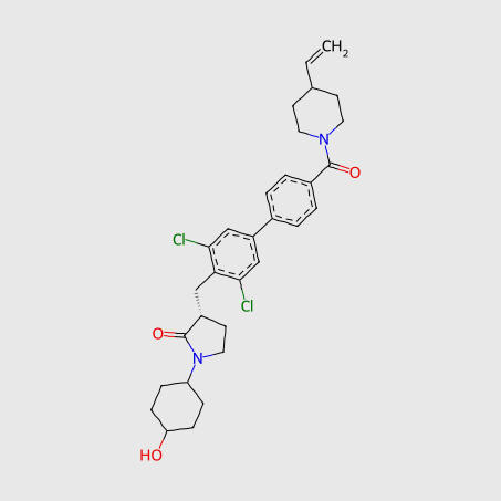 C=CC1CCN(C(=O)c2ccc(-c3cc(Cl)c(C[C@@H]4CCN(C5CCC(O)CC5)C4=O)c(Cl)c3)cc2)CC1